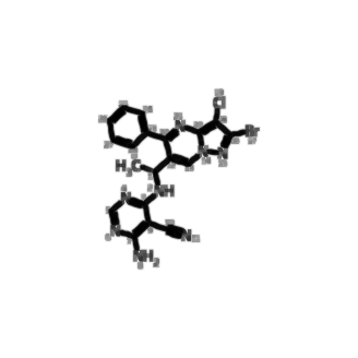 C[C@H](Nc1ncnc(N)c1C#N)c1cn2nc(Br)c(Cl)c2nc1-c1ccccc1